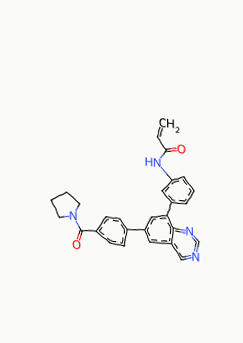 C=CC(=O)Nc1cccc(-c2cc(-c3ccc(C(=O)N4CCCC4)cc3)cc3cncnc23)c1